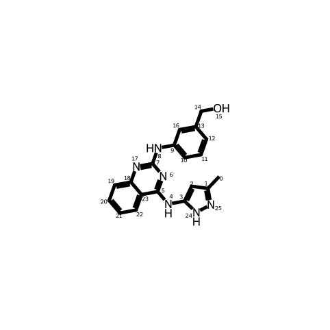 Cc1cc(Nc2nc(Nc3cccc(CO)c3)nc3ccccc23)[nH]n1